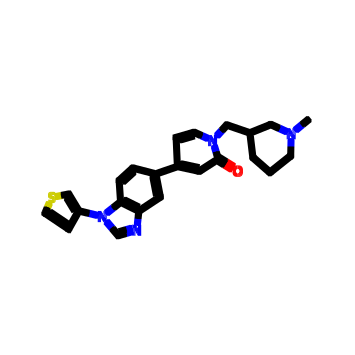 CN1CCCC(Cn2ccc(-c3ccc4c(c3)ncn4-c3ccsc3)cc2=O)C1